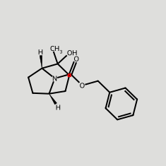 CC1(O)CC[C@@H]2CC[C@H]1N2C(=O)OCc1ccccc1